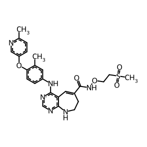 Cc1ccc(Oc2ccc(Nc3ncnc4c3C=C(C(=O)NOCCS(C)(=O)=O)CCN4)cc2C)cn1